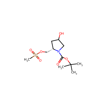 CC(C)(C)OC(=O)N1CC(O)C[C@H]1COS(C)(=O)=O